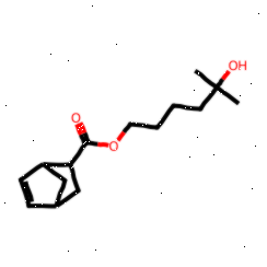 CC(C)(O)CCCCOC(=O)C1CC2C=CC1C2